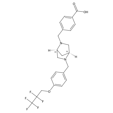 O=C(O)c1ccc(CN2C[C@@H]3C[C@H]2CN3Cc2ccc(OCC(F)(F)C(F)(F)F)cc2)cc1